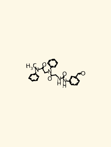 CN(C(=O)CN(C(=O)CNC(=O)Nc1cccc(C=O)c1)c1ccccc1)c1ccccc1